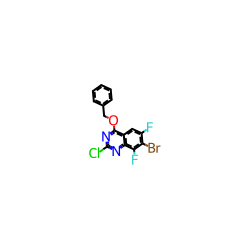 Fc1cc2c(OCc3ccccc3)nc(Cl)nc2c(F)c1Br